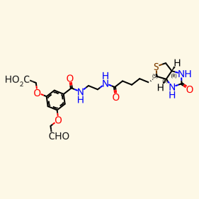 O=CCOc1cc(OCC(=O)O)cc(C(=O)NCCNC(=O)CCCC[C@@H]2SC[C@@H]3NC(=O)N[C@@H]32)c1